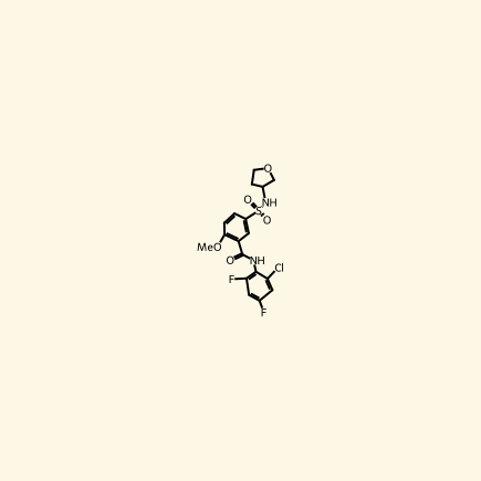 COc1ccc(S(=O)(=O)NC2CCOC2)cc1C(=O)Nc1c(F)cc(F)cc1Cl